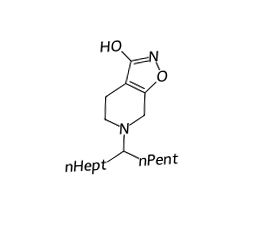 CCCCCCCC(CCCCC)N1CCc2c(O)noc2C1